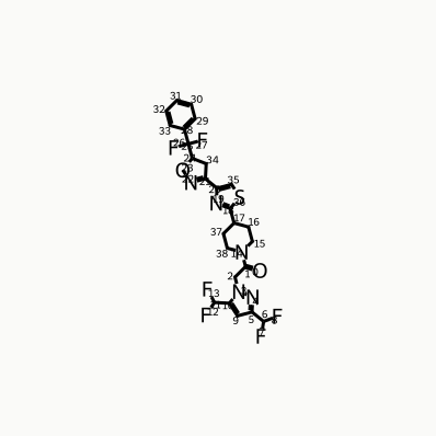 O=C(Cn1nc(C(F)F)cc1C(F)F)N1CCC(c2nc(C3=NOC(C(F)(F)c4ccccc4)C3)cs2)CC1